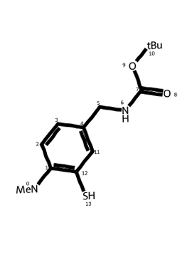 CNc1ccc(CNC(=O)OC(C)(C)C)cc1S